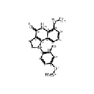 CSOc1ccc(N2CCc3c2c2cccc(OC(F)(F)F)c2[nH]c3=O)c(C)c1